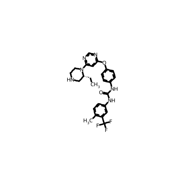 CC[C@@H]1CNCCN1c1cc(Oc2ccc(NC(=O)Nc3ccc(C)c(C(F)(F)F)c3)cc2)ncn1